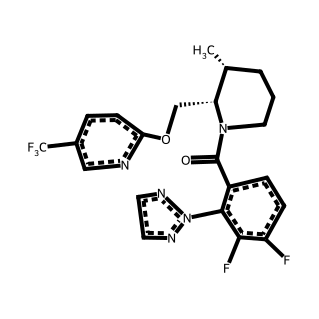 C[C@@H]1CCCN(C(=O)c2ccc(F)c(F)c2-n2nccn2)[C@@H]1COc1ccc(C(F)(F)F)cn1